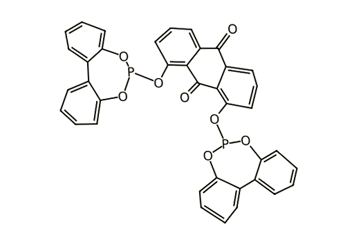 O=C1c2cccc(Op3oc4ccccc4c4ccccc4o3)c2C(=O)c2c(Op3oc4ccccc4c4ccccc4o3)cccc21